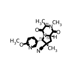 COc1ccc([C@@H]2N3C(=O)[C@@H](C)N(C)C(=O)[C@@H]3C[C@]2(C)C#N)cn1